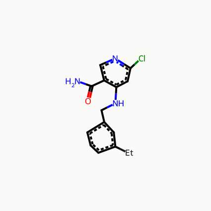 CCc1cccc(CNc2cc(Cl)ncc2C(N)=O)c1